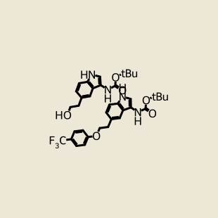 CC(C)(C)OC(=O)Nc1c[nH]c2ccc(CCO)cc12.CC(C)(C)OC(=O)Nc1c[nH]c2ccc(CCOc3ccc(C(F)(F)F)cc3)cc12